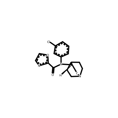 O=C(c1ncco1)N(c1cccc(Cl)c1)[C@H]1CN2CCC1CC2